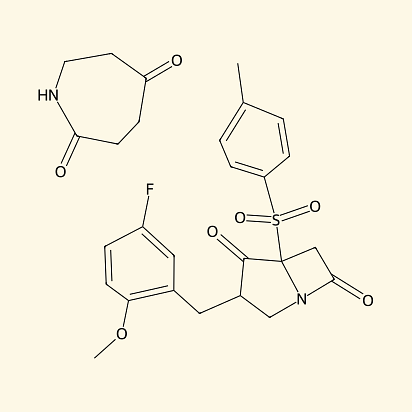 COc1ccc(F)cc1CC1CN2C(=O)CC2(S(=O)(=O)c2ccc(C)cc2)C1=O.O=C1CCNC(=O)CC1